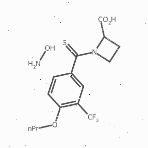 CCCOc1ccc(C(=S)N2CCC2C(=O)O)cc1C(F)(F)F.NO